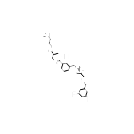 CN(C)CCCOC1=CPC(c2cccc(CN3C/C(=C\N=C\c4cc(F)cc(F)c4)N3)c2)N=C1